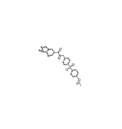 O=C(NCc1ccc(S(=O)(=O)c2ccc(OC(F)(F)F)cc2)cc1)c1cnc2[nH]ncc2c1